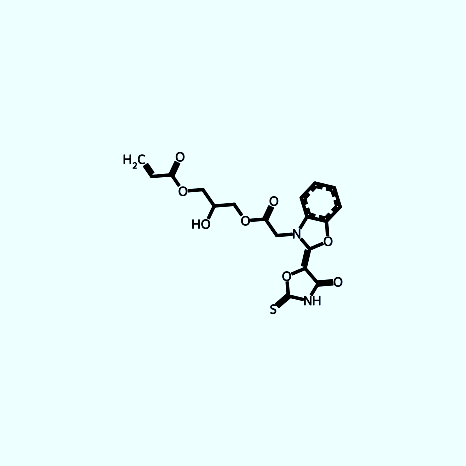 C=CC(=O)OCC(O)COC(=O)CN1/C(=C2\OC(=S)NC2=O)Oc2ccccc21